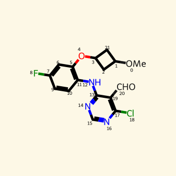 COC1CC(Oc2cc(F)ccc2Nc2ncnc(Cl)c2C=O)C1